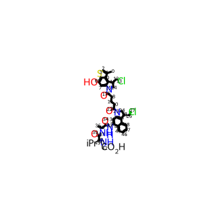 Cc1csc2c(O)cc3c(c12)C(CCl)CN3C(=O)CCCC(=O)N1C[C@@H](CCl)c2c1cc(NC(=O)C(C)NC(=O)C(NC(=O)O)C(C)C)c1ccccc21